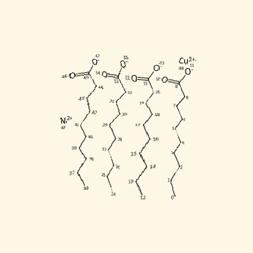 CCCCCCCCCC(=O)[O-].CCCCCCCCCC(=O)[O-].CCCCCCCCCC(=O)[O-].CCCCCCCCCC(=O)[O-].[Cu+2].[Ni+2]